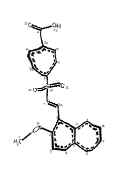 COc1ccc2ccccc2c1/C=N/S(=O)(=O)c1ccc(C(=O)O)cc1